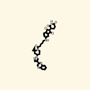 O=C1CCC(C2C(=O)c3ccc(NCCCCC(=O)N4CCC(n5cc(-c6cnc7ccccc7n6)cn5)CC45CC5)cc3C2=O)C(=O)N1